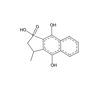 CC1CP(=O)(O)c2c1c(O)c1ccccc1c2O